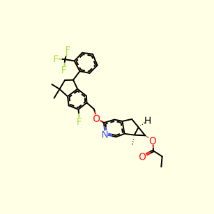 CCC(=O)O[C@H]1[C@@H]2Cc3cc(OCc4cc5c(cc4F)C(C)(C)CC5c4ccccc4C(F)(F)F)ncc3[C@@]21C